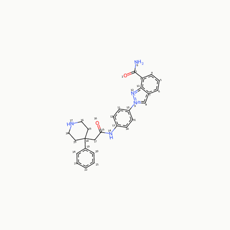 NC(=O)c1cccc2cn(-c3ccc(NC(=O)CC4(c5ccccc5)CCNCC4)cc3)nc12